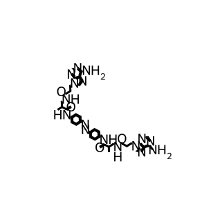 CC(CNC(=O)CCn1cnc2c(N)ncnc21)C(=O)Nc1ccc(/N=N/c2ccc(NC(=O)C(C)CNC(=O)CCn3cnc4c(N)ncnc43)cc2)cc1